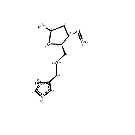 C=C[C@H]1CC(C)O[C@@H]1CNCc1cnc[nH]1